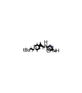 CC(C)(C)CCN1CCC2(CC1)CC2CNC(=N)/C=C\C(=N)Cl